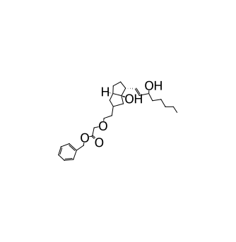 CCCCCC(O)C=C[C@H]1CC[C@@H]2CC(CCOCC(=O)OCc3ccccc3)C[C@]21O